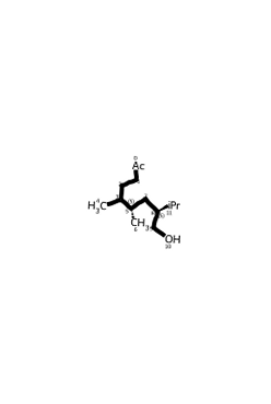 CC(=O)CCC(C)[C@@H](C)C[C@H](CO)C(C)C